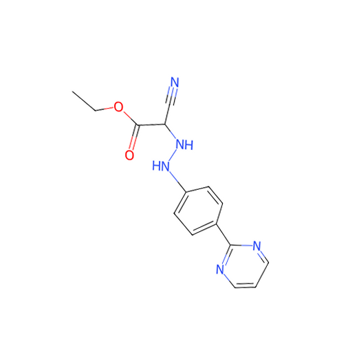 CCOC(=O)C(C#N)NNc1ccc(-c2ncccn2)cc1